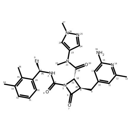 CC[C@@H](NC(=O)N1C(=O)[C@H](Cc2cc(C)nc(N)c2)[C@H]1C(=O)N(C)c1cnn(C)c1)c1cccc(C)c1C